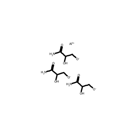 NC(=O)C(O)C[O-].NC(=O)C(O)C[O-].NC(=O)C(O)C[O-].[Al+3]